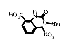 CC(C)(C)OC(=O)Nc1c(C[N+](=O)[O-])cccc1C(=O)O